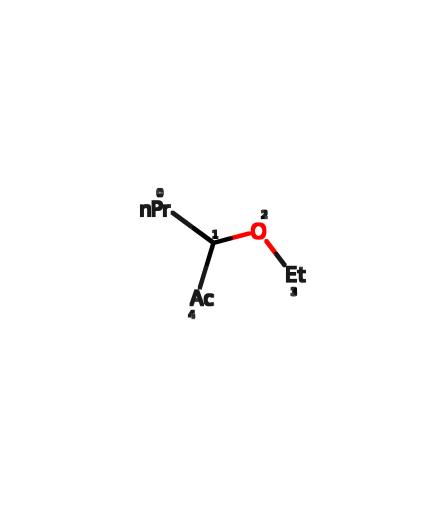 CCCC(OCC)C(C)=O